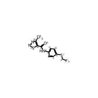 O=C(Nc1ccc(SCF)cc1)c1snnc1C(F)(F)F